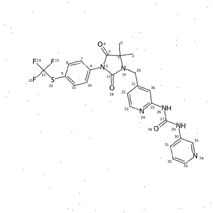 CC1(C)C(=O)N(c2ccc(SC(F)(F)F)cc2)C(=O)N1Cc1ccnc(NC(=O)Nc2cccnc2)c1